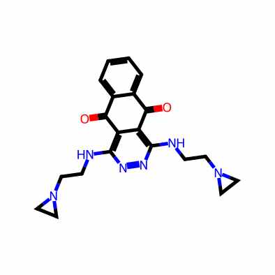 O=C1c2ccccc2C(=O)c2c(NCCN3CC3)nnc(NCCN3CC3)c21